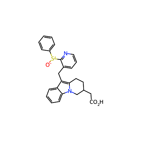 O=C(O)CC1CCc2c(Cc3cccnc3[S+]([O-])c3ccccc3)c3ccccc3n2C1